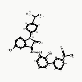 Cc1ccc2c(c1)C(=NNc1cccc(-c3cccc(C(=O)O)c3)c1O)C(=O)N2c1ccc(C(C)C)cc1